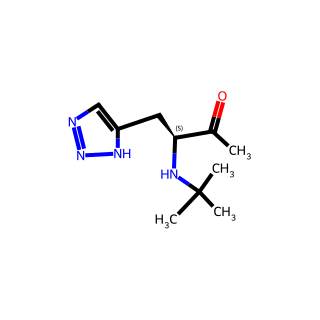 CC(=O)[C@H](Cc1cnn[nH]1)NC(C)(C)C